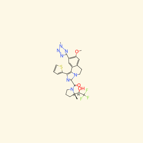 COc1cc2c(cc1-c1nnn(C)n1)-c1c(-c3cccs3)nc(C(=O)N3CCC[C@@]3(C)[C@@H](O)C(F)(F)F)n1CC2